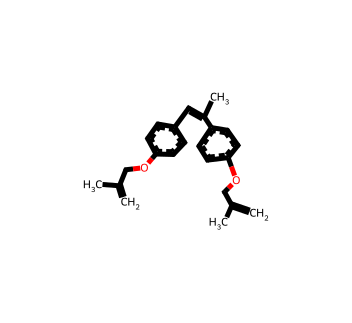 C=C(C)COc1ccc(C=C(C)c2ccc(OCC(=C)C)cc2)cc1